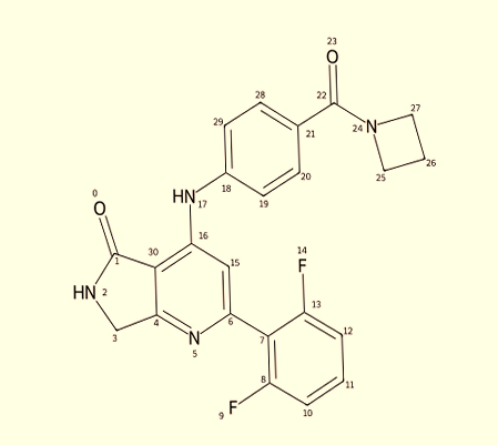 O=C1NCc2nc(-c3c(F)cccc3F)cc(Nc3ccc(C(=O)N4CCC4)cc3)c21